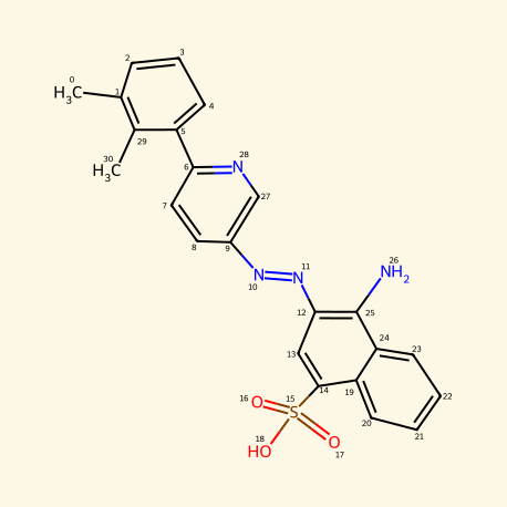 Cc1cccc(-c2ccc(N=Nc3cc(S(=O)(=O)O)c4ccccc4c3N)cn2)c1C